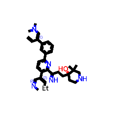 C=C/C(=C\N(C)C)c1cccc(-c2ccc(C(/C=N\C)=C/CC)c(C(=N)CCC3(O)CCNCC3(C)C)n2)c1